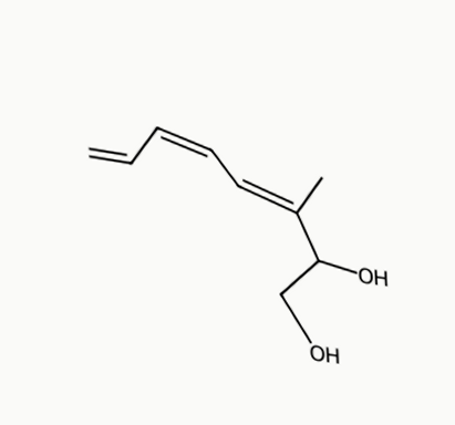 C=C/C=C\C=C(/C)C(O)CO